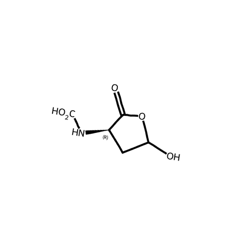 O=C(O)N[C@@H]1CC(O)OC1=O